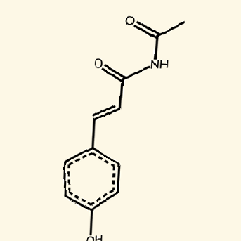 CC(=O)NC(=O)C=Cc1ccc(O)cc1